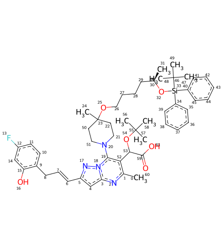 Cc1nc2cc(C=CCc3ccc(F)cc3O)nn2c(N2CCC(C)(OCCCC[C@@H](C)O[Si](c3ccccc3)(c3ccccc3)C(C)(C)C)CC2)c1C(OC(C)(C)C)C(=O)O